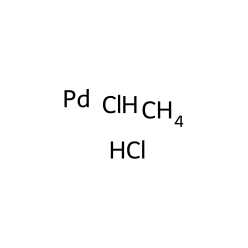 C.Cl.Cl.[Pd]